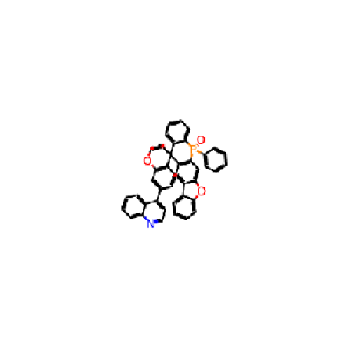 O=P1(c2ccccc2)c2ccccc2C2(c3ccccc3Oc3cc(-c4ccnc5ccccc45)ccc32)c2cc3c(cc21)oc1ccccc13